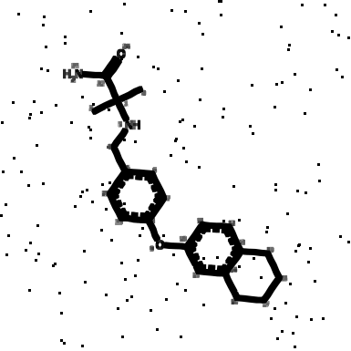 CC(C)(NCc1ccc(Oc2ccc3c(c2)CCCC3)cc1)C(N)=O